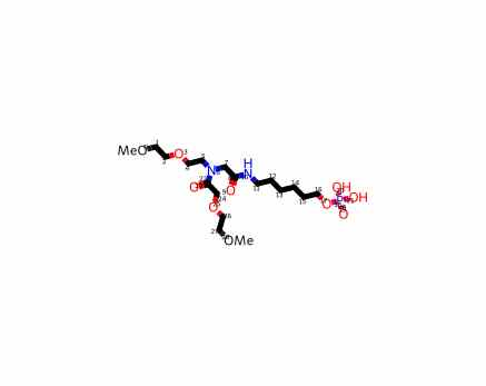 COCCOCCN(CC(=O)NCCCCCCOP(=O)(O)O)C(=O)COCCOC